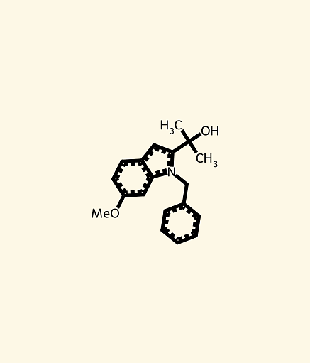 COc1ccc2cc(C(C)(C)O)n(Cc3ccccc3)c2c1